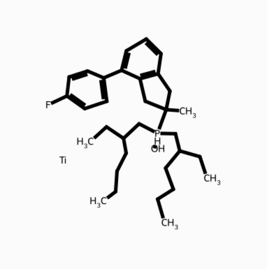 CCCCC(CC)C[PH](O)(CC(CC)CCCC)C1(C)Cc2cccc(-c3ccc(F)cc3)c2C1.[Ti]